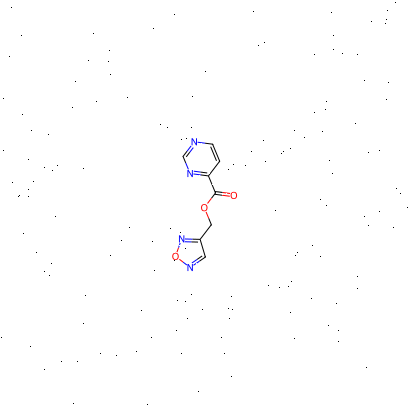 O=C(OCc1cnon1)c1ccncn1